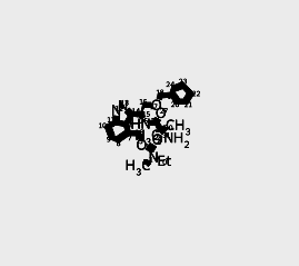 CCN(C)C(=O)OCC1=CC=CC2=NN=C([C@@H](COCc3ccccc3)NC(=O)C(C)(C)N)C12